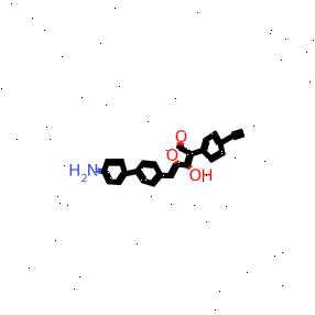 C#Cc1ccc(C2=C(O)C(=Cc3ccc(-c4ccc(N)cc4)cc3)OC2=O)cc1